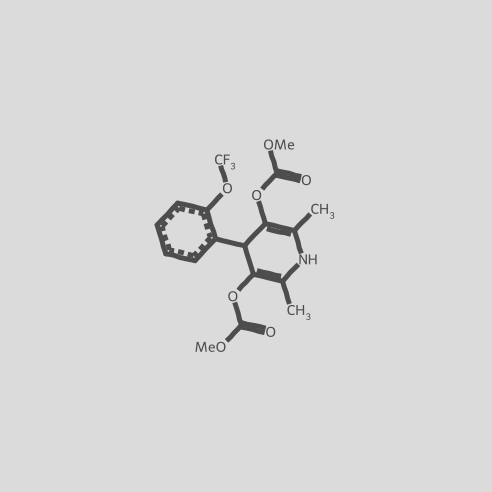 COC(=O)OC1=C(C)NC(C)=C(OC(=O)OC)C1c1ccccc1OC(F)(F)F